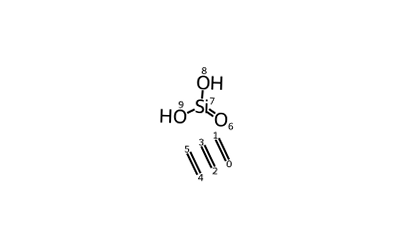 C=C.C=C.C=C.O=[Si](O)O